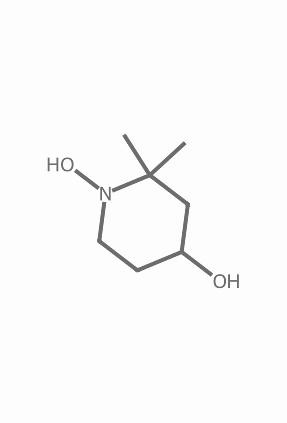 CC1(C)CC(O)CCN1O